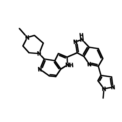 CN1CCN(c2nccc3[nH]c(-c4n[nH]c5ccc(-c6cnn(C)c6)nc45)cc23)CC1